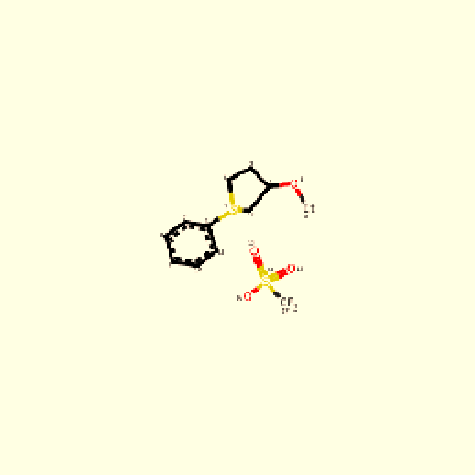 CCOC1CC[S+](c2ccccc2)C1.O=S(=O)([O-])C(F)(F)F